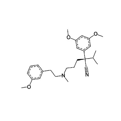 COc1cccc(CCN(C)CCC[C@@](C#N)(c2cc(OC)cc(OC)c2)C(C)C)c1